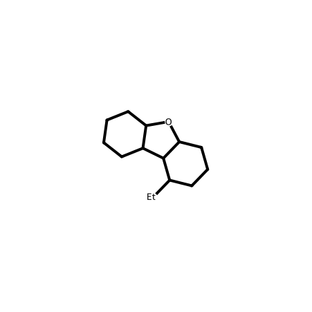 CCC1CCCC2OC3CCCCC3C12